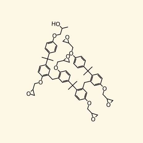 CC(O)COc1ccc(C(C)(C)c2ccc(OCC3CO3)c(Cc3cc(C(C)(C)c4ccc(OCC5CO5)cc4Cc4cc(OCC5CO5)ccc4C(C)(C)c4ccc(OCC5CO5)cc4)ccc3OCC3CO3)c2)cc1